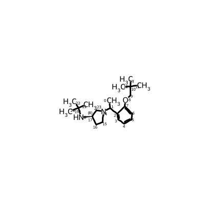 CC(c1ccccc1OCC(C)(C)C)N1CC[C@@H](NC(C)(C)C)C1